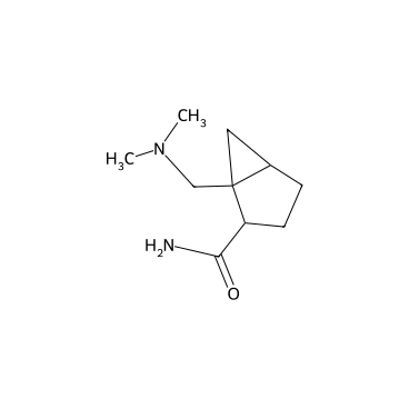 CN(C)CC12CC1CCC2C(N)=O